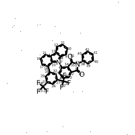 O=C1c2cccc(-n3c4ccccc4c4cccc(-c5cc(C(F)(F)F)cc(C(F)(F)F)c5)c43)c2C(=O)N1c1ccccc1